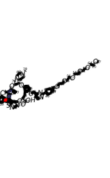 C#C/C1=C(Cl)\C(C)=C(/CC)c2c(-c3ccc(F)cc3)sc3ncnc(c23)O[C@@H](C(=O)O)Cc2cc(ccc2OCc2ccnc(C3=CC[C@](F)(COCCOCCOCCOCCOCCOC)CC3)n2)OC[C@@H](CN2CCN(C)CC2)O1